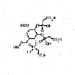 CCCCOC[C@H]1O[C@H](OC)[C@@H](OP(=O)(O)CC(=O)O)[C@@H](OP(=O)(O)CC(=O)O)[C@@H]1OP(=O)(O)CC(=O)O